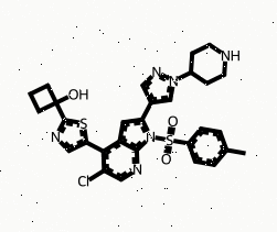 Cc1ccc(S(=O)(=O)n2c(-c3cnn(C4CCNCC4)c3)cc3c(-c4cnc(C5(O)CCC5)s4)c(Cl)cnc32)cc1